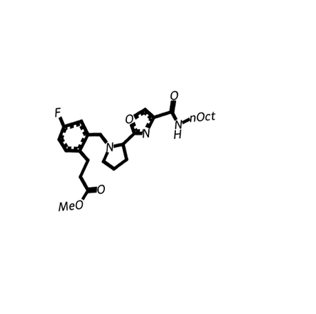 CCCCCCCCNC(=O)c1coc(C2CCCN2Cc2cc(F)ccc2CCC(=O)OC)n1